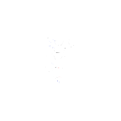 CCN(C(=O)C1COC1C(N)=O)c1ccc(-c2cc(Cl)cc(F)c2-c2nnn(C)n2)cc1F